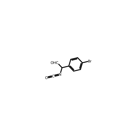 O=C=N[C](C=O)c1ccc(Br)cc1